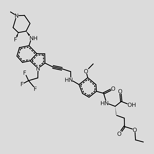 CCOC(=O)CC[C@H](NC(=O)c1ccc(NCC#Cc2cc3c(N[C@@H]4CCN(C)C[C@@H]4F)cccc3n2CC(F)(F)F)c(OC)c1)C(=O)O